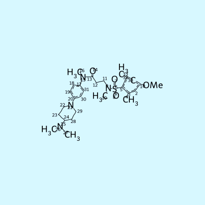 COc1cc(C)c(S(=O)(=O)N(C)CCC(=O)N(C)c2ccc(N3CCC(N(C)C)CC3)cc2)c(C)c1